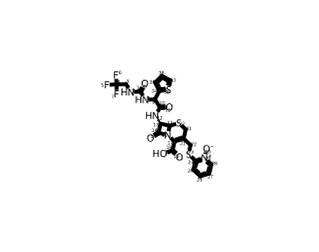 O=C(NCC(F)(F)F)NC(C(=O)N[C@@H]1C(=O)N2C(C(=O)O)=C(CSc3cccc[n+]3[O-])CSC12)c1cccs1